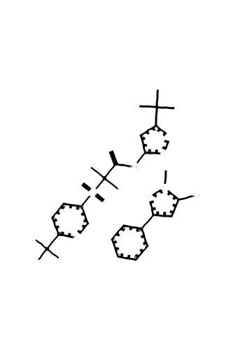 CC(C)(C)c1cc(NC(=O)C(C)(C)S(=O)(=O)c2ccc(C(F)(F)F)nc2)no1.Cn1nc(-c2ccccc2)cc1N